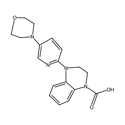 O=C(O)N1CCN(c2ccc(N3CCOCC3)cn2)c2ccccc21